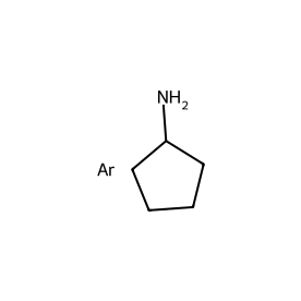 NC1CCCC1.[Ar]